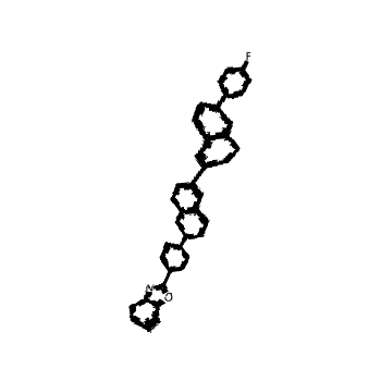 Fc1ccc(-c2ccc3cc(-c4ccc5cc(-c6ccc(-c7nc8ccccc8o7)cc6)ccc5c4)ccc3c2)cc1